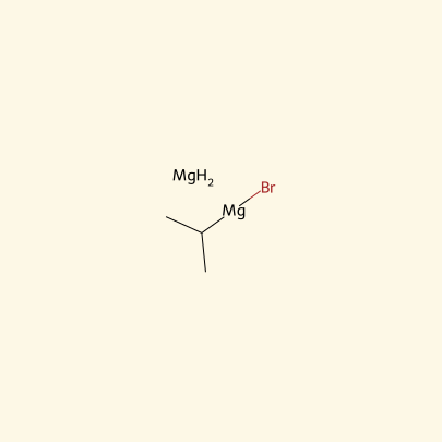 C[CH](C)[Mg][Br].[MgH2]